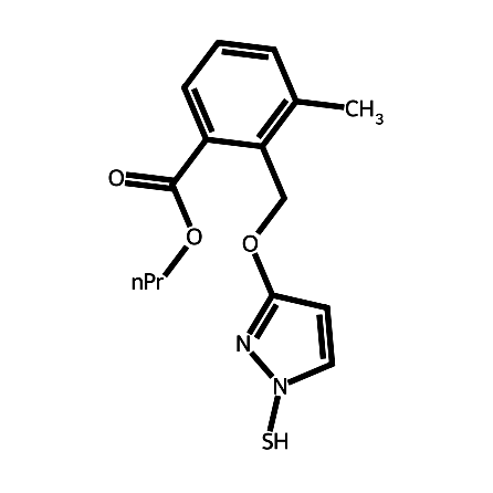 CCCOC(=O)c1cccc(C)c1COc1ccn(S)n1